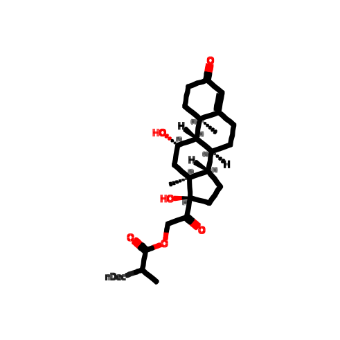 CCCCCCCCCCC(C)C(=O)OCC(=O)[C@@]1(O)CC[C@H]2[C@@H]3CCC4=CC(=O)CC[C@]4(C)[C@H]3[C@@H](O)C[C@@]21C